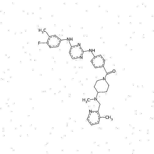 Cc1cc(Nc2ccnc(Nc3ccc(C(=O)N4CCC(N(C)Cc5ncccc5C)CC4)cc3)n2)ccc1F